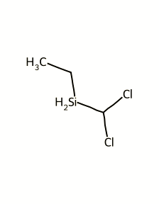 CC[SiH2]C(Cl)Cl